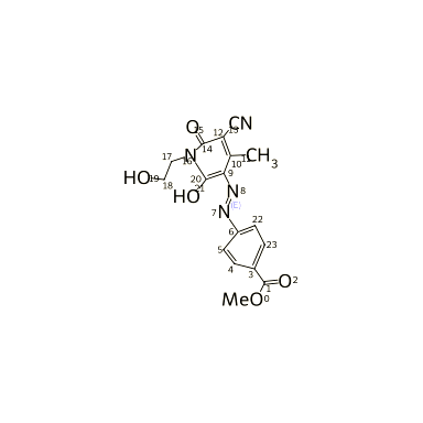 COC(=O)c1ccc(/N=N/c2c(C)c(C#N)c(=O)n(CCO)c2O)cc1